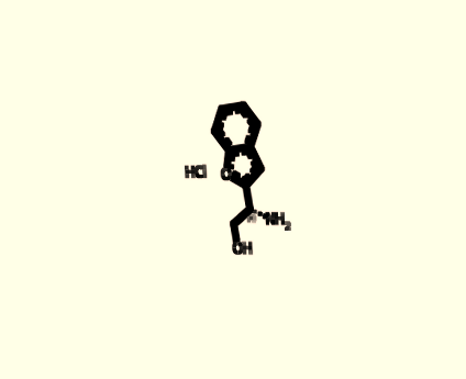 Cl.N[C@H](CO)c1cc2ccccc2o1